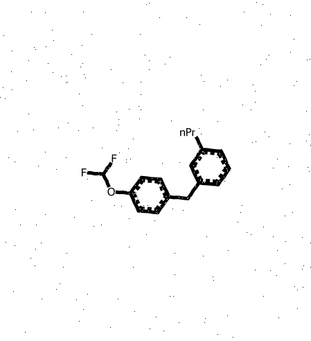 CCCc1cccc(Cc2ccc(OC(F)F)cc2)c1